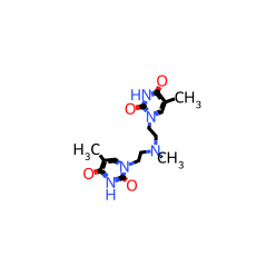 Cc1cn(CCN(C)CCn2cc(C)c(=O)[nH]c2=O)c(=O)[nH]c1=O